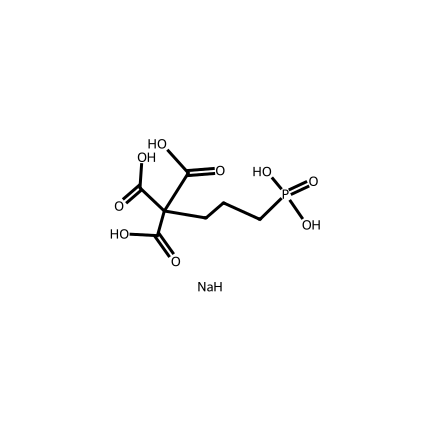 O=C(O)C(CCCP(=O)(O)O)(C(=O)O)C(=O)O.[NaH]